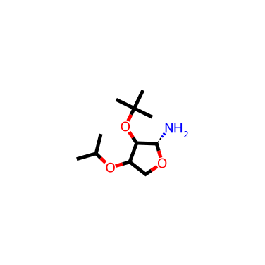 CC(C)OC1CO[C@@H](N)C1OC(C)(C)C